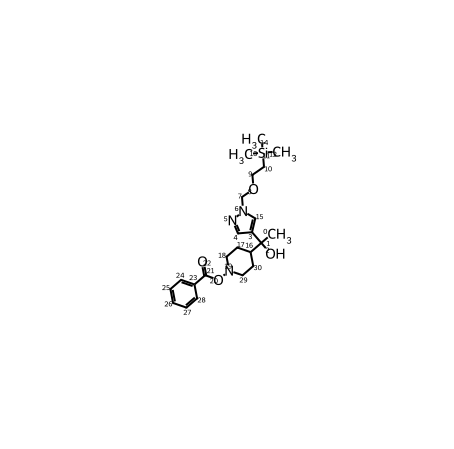 CC(O)(c1cnn(COCC[Si](C)(C)C)c1)C1CCN(OC(=O)c2ccccc2)CC1